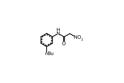 CCCCc1cccc(NC(=O)C[N+](=O)[O-])c1